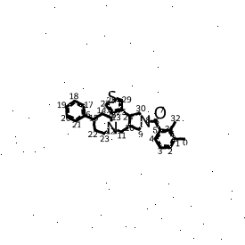 Cc1cccc(C(=O)N2CC(CN3CCC(c4ccccc4)CC3)C(c3ccsc3)C2)c1C